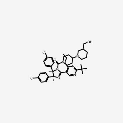 CCOc1nc(C(C)(C)C)ncc1C1=N[C@@](C)(c2ccc(Cl)cc2)[C@@](C)(c2ccc(Cl)cc2)N1C(=O)N1CCC(N2CCCC(CO)C2)CC1